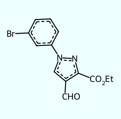 CCOC(=O)c1nn(-c2cccc(Br)c2)cc1C=O